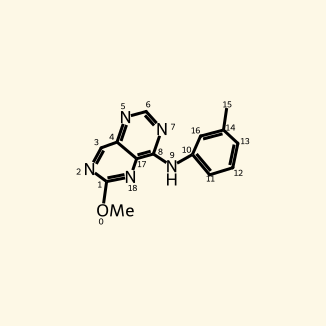 COc1ncc2ncnc(Nc3cccc(C)c3)c2n1